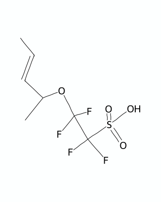 CC=CC(C)OC(F)(F)C(F)(F)S(=O)(=O)O